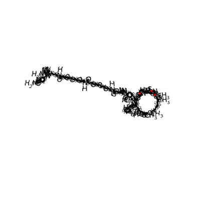 CO[C@H]1C[C@@H]2CC[C@@H](C)[C@@](O)(O2)C(=O)C(=O)N2CCCC[C@H]2C(=O)O[C@H]([C@H](N)C[C@@H]2CC[C@H](n3cc(COC(=O)NCCOCCOCCOCCC(=O)NCCOCCOCCOCCC(=O)NCCCCn4nc(-c5ccc6oc(N)nc6c5)c5c(N)ncnc54)nn3)[C@H](OC)C2)C/C(=N/OCc2ccccc2)[C@H](C)/C=C(\C)[C@@H](O)[C@@H](O)C(=O)[C@H](C)C[C@H](C)/C=C/C=C/C=C/1C